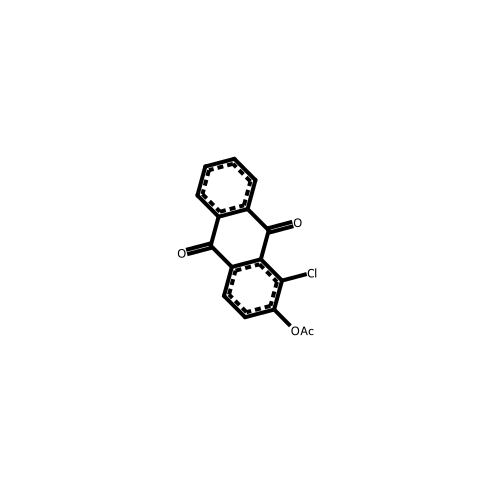 CC(=O)Oc1ccc2c(c1Cl)C(=O)c1ccccc1C2=O